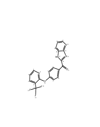 O=C(c1ccc(Oc2ncccc2C(F)(F)F)cc1)c1nc2ncccc2[nH]1